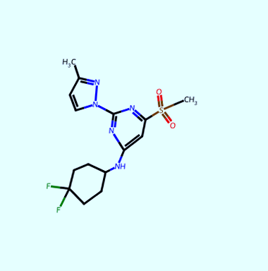 Cc1ccn(-c2nc(NC3CCC(F)(F)CC3)cc(S(C)(=O)=O)n2)n1